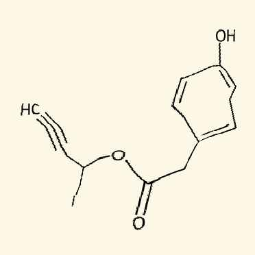 C#CC(I)OC(=O)Cc1ccc(O)cc1